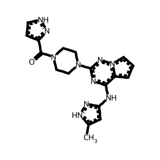 Cc1cc(Nc2nc(N3CCN(C(=O)c4cc[nH]n4)CC3)nn3cccc23)n[nH]1